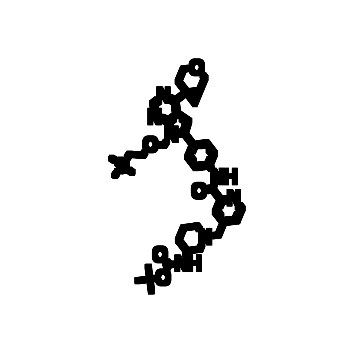 CC(C)(C)OC(=O)N[C@@H]1CCCN(Cc2ccnc(C(=O)Nc3ccc(-c4cc5c(C67CCOCC6C7)ncnc5n4COCC[Si](C)(C)C)cc3)c2)C1